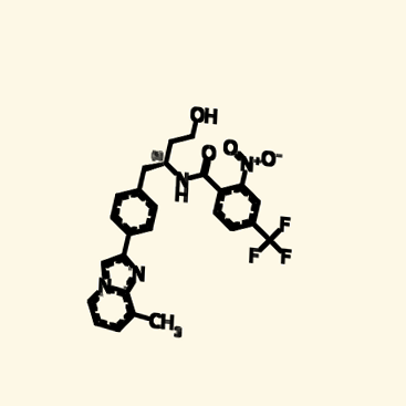 Cc1cccn2cc(-c3ccc(C[C@@H](CCO)NC(=O)c4ccc(C(F)(F)F)cc4[N+](=O)[O-])cc3)nc12